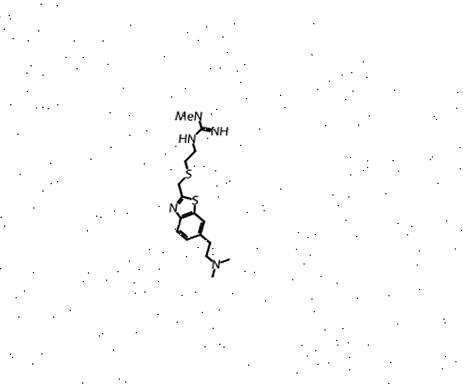 CNC(=N)NCCSCc1nc2ccc(CCN(C)C)cc2s1